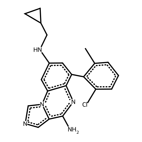 Cc1cccc(Cl)c1-c1cc(NCC2CC2)cc2c1nc(N)c1cncn12